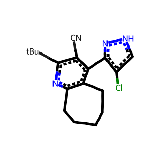 CC(C)(C)c1nc2c(c(-c3n[nH]cc3Cl)c1C#N)CCCCC2